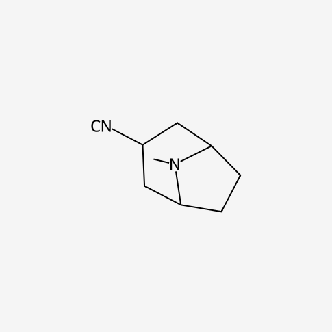 [C-]#[N+]C1CC2CCC(C1)N2C